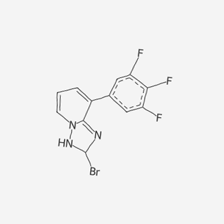 Fc1cc(C2=CC=CN3NC(Br)N=C23)cc(F)c1F